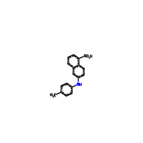 Cc1ccc(Nc2ccc3c(S(=O)(=O)O)cccc3c2)cc1